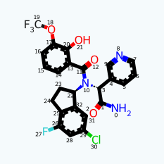 NC(=O)[C@@H](c1cccnc1)N(C(=O)c1cccc(OC(F)(F)F)c1O)[C@@H]1CCc2c(F)cc(Cl)cc21